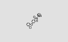 O=C(NC1CC2CCN(CC2)C1)c1ccc(Oc2ccccc2Cl)cc1